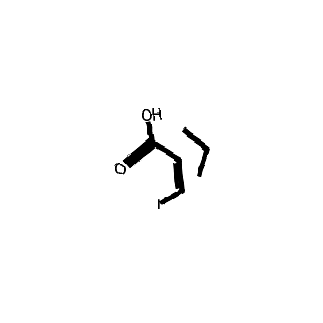 CCC.O=C(O)/C=C\I